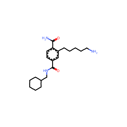 NCCCCCc1cc(C(=O)NCC2CCCCC2)ccc1C(N)=O